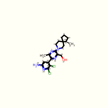 Cc1nc(N2CCC3(CCC[C@H]3C)CC2)c(CO)nc1-c1cc(N)nc(Cl)c1Cl